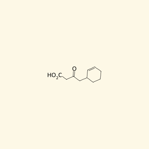 O=C(O)CC(=O)CC1C=CCCC1